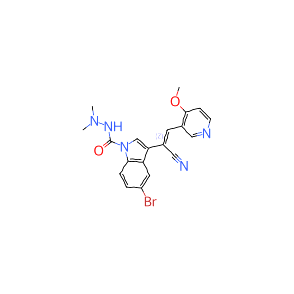 COc1ccncc1/C=C(\C#N)c1cn(C(=O)NN(C)C)c2ccc(Br)cc12